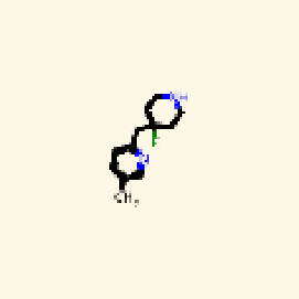 Cc1ccc(CC2(F)CCNCC2)nc1